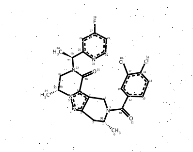 C[C@@H]1Cc2nn3c(c2CN1C(=O)c1ccc(Cl)c(Cl)c1)C(=O)N([C@@H](C)c1cc(F)ccn1)C[C@H]3C